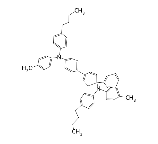 CCCCc1ccc(N(c2ccc(C)cc2)c2ccc(C3=CCC(c4ccccc4)(N(c4ccc(C)cc4)c4ccc(CCCC)cc4)C=C3)cc2)cc1